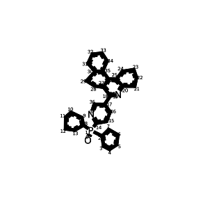 O=P(c1ccccc1)(c1ccccc1)c1ccc(-c2nc3ccccc3c3c2ccc2ccccc23)cn1